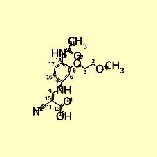 COCCOc1cc(NC=C(C#N)C(=O)O)ccc1NC(C)=O